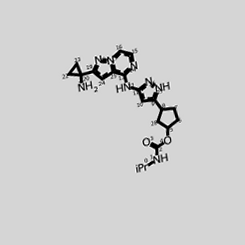 CC(C)NC(=O)OC1CCC(c2cc(Nc3nccn4nc(C5(N)CC5)cc34)n[nH]2)C1